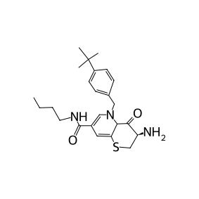 CCCCNC(=O)C1=CN(Cc2ccc(C(C)(C)C)cc2)C2C(=O)[C@@H](N)CSC2=C1